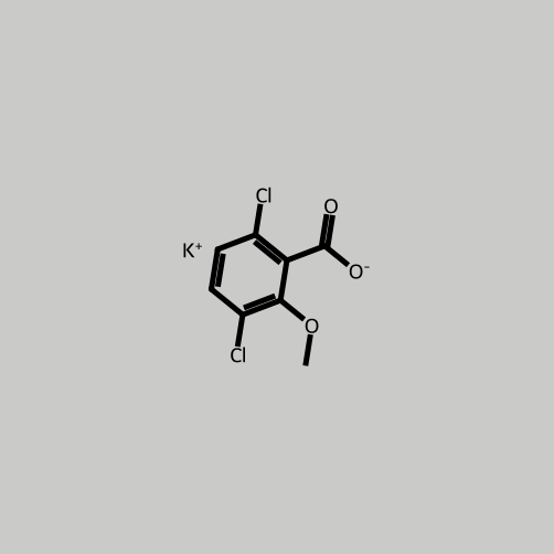 COc1c(Cl)ccc(Cl)c1C(=O)[O-].[K+]